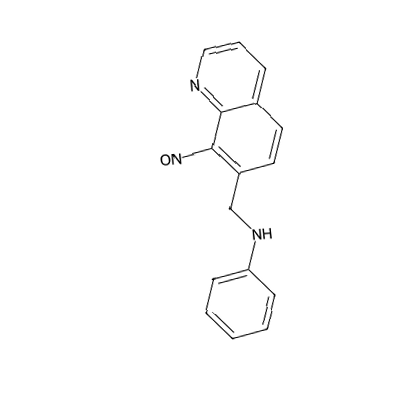 O=Nc1c(CNc2ccccc2)ccc2cccnc12